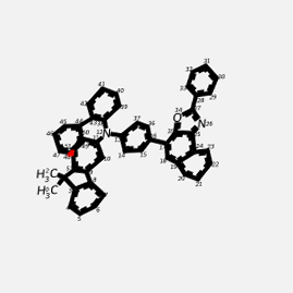 CC1(C)c2ccccc2-c2cc(N(c3ccc(-c4cc5ccccc5c5nc(-c6ccccc6)oc45)cc3)c3ccccc3-c3ccccc3)ccc21